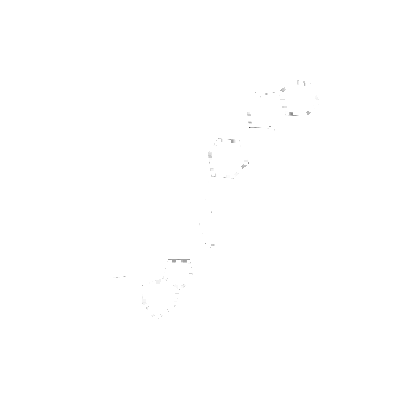 Nc1ccccc1NC(=O)c1ccc(OCCN(C=O)c2cc3c(COC(F)(F)F)cccc3o2)cc1